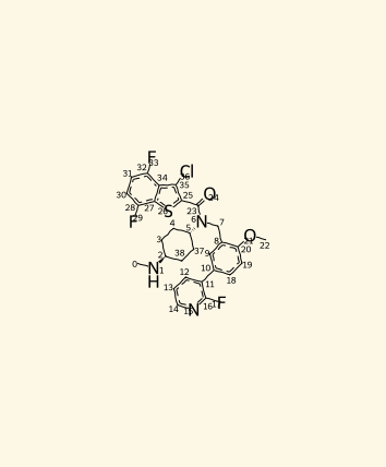 CN[C@H]1CC[C@H](N(Cc2cc(-c3cccnc3F)ccc2OC)C(=O)c2sc3c(F)ccc(F)c3c2Cl)CC1